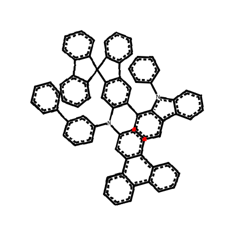 c1ccc(-c2cccc(N(c3ccc4c5ccccc5c5ccccc5c4c3)c3cc4c(cc3-c3cccc5c6ccccc6n(-c6ccccc6)c35)-c3ccccc3C43c4ccccc4-c4ccccc43)c2)cc1